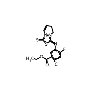 CCOC(=O)c1cc(N=c2sc(=S)n3n2CCC=C3)c(F)cc1Cl